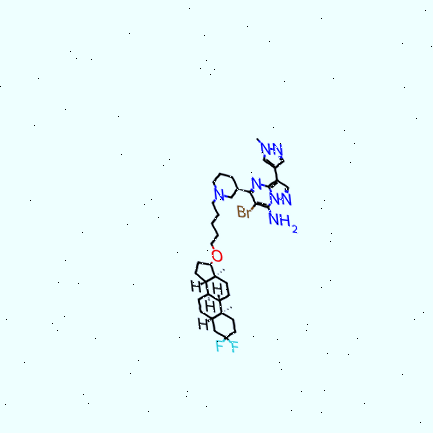 Cn1cc(-c2cnn3c(N)c(Br)c([C@@H]4CCCN(CCCCCO[C@H]5CC[C@H]6[C@@H]7CC[C@H]8CC(F)(F)CC[C@]8(C)[C@H]7CC[C@]56C)C4)nc23)cn1